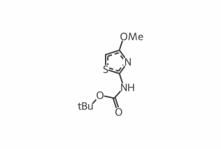 COc1csc(NC(=O)OC(C)(C)C)n1